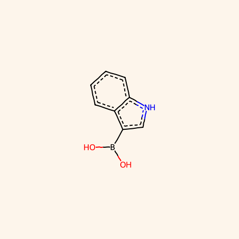 OB(O)c1c[nH]c2ccccc12